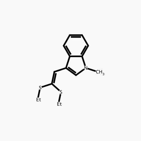 CCSC(=Cc1cn(C)c2ccccc12)SCC